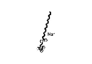 CCCCCCCCCCCCCC(=O)OCCS(=O)(=O)[O-].[Na+]